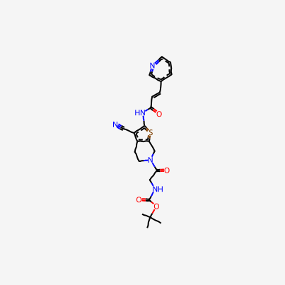 CC(C)(C)OC(=O)NCC(=O)N1CCc2c(sc(NC(=O)C=Cc3cccnc3)c2C#N)C1